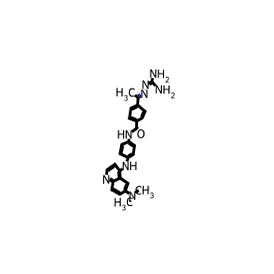 C/C(=N\N=C(N)N)c1ccc(C(=O)Nc2ccc(Nc3ccnc4ccc(N(C)C)cc34)cc2)cc1